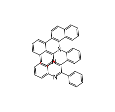 c1ccc(-c2nc3ccccc3nc2-c2ccccc2N2c3c(ccc4ccccc34)-c3cccc4cccc2c34)cc1